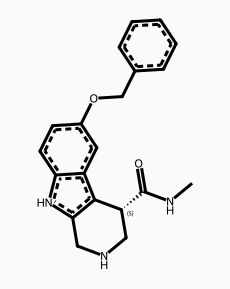 CNC(=O)[C@@H]1CNCc2[nH]c3ccc(OCc4ccccc4)cc3c21